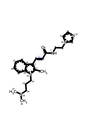 Cc1c(/C=C/C(=O)NCCn2ccnc2)c2ccccc2n1CCCN(C)C